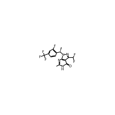 Cc1nc2c(c(C(F)F)nn2[C@H](C)c2ccc(C(F)(F)F)cc2F)c(=O)[nH]1